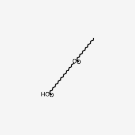 CCCCCCCCCCCCCC(=O)OCCCCCCCCCCCCCCCCCCC(=O)O